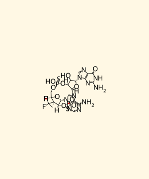 Nc1nc2c(ncn2[C@@H]2O[C@@H]3COP(O)(=S)O[C@H]4[C@H](n5cnc6c(N)ncnc65)O[C@H](COP(O)(=S)O[C@H]3[C@H]2O)[C@@]42CC2(F)F)c(=O)[nH]1